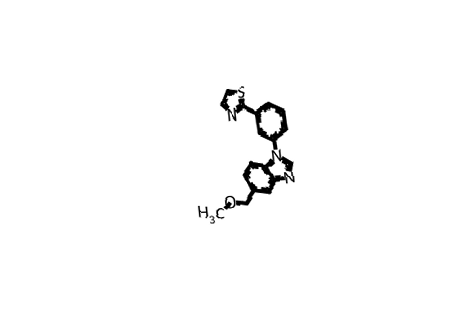 COCc1ccc2c(c1)ncn2-c1cccc(-c2nccs2)c1